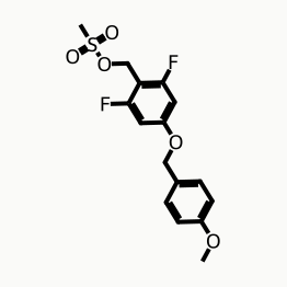 COc1ccc(COc2cc(F)c(COS(C)(=O)=O)c(F)c2)cc1